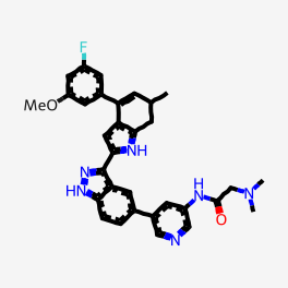 COc1cc(F)cc(C2=CC(C)Cc3[nH]c(-c4n[nH]c5ccc(-c6cncc(NC(=O)CN(C)C)c6)cc45)cc32)c1